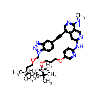 CNc1ncc(C#Cc2ccc3c(c2)nnn3COCC[Si](C)(C)C)c2cc(Nc3ccc(OCCCO[Si](C)(C)C(C)(C)C)cn3)ncc12